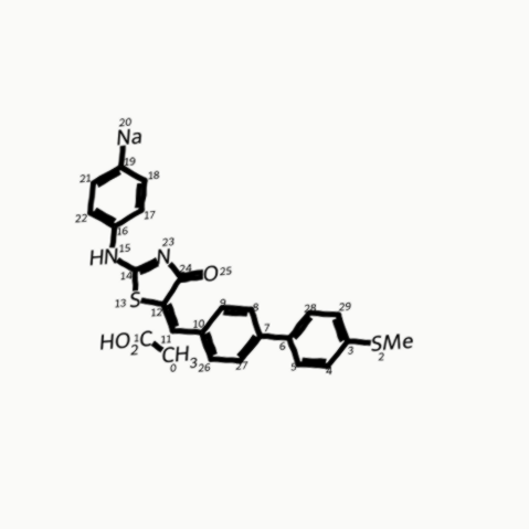 CC(=O)O.CSc1ccc(-c2ccc(C=C3SC(Nc4cc[c]([Na])cc4)=NC3=O)cc2)cc1